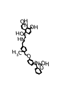 Cc1cc(CCNC[C@@H](O)c2ccc(O)c3[nH]c(=O)ccc23)ccc1COc1cccc(C(NC(=O)O)c2ccccc2)c1